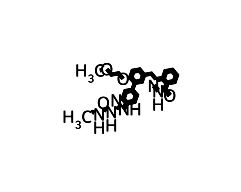 CCNC(=O)Nc1nc2cc(-c3cc(Cc4n[nH]c(=O)c5ccccc45)ccc3OCCOC)ccc2[nH]1